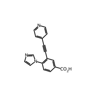 O=C(O)c1ccc(-n2ccnc2)c(C#Cc2ccncc2)c1